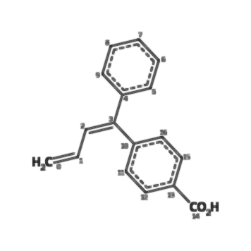 C=CC=C(c1ccccc1)c1ccc(C(=O)O)cc1